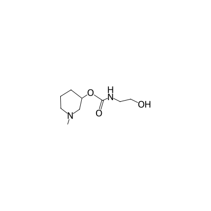 CN1CCCC(OC(=O)NCCO)C1